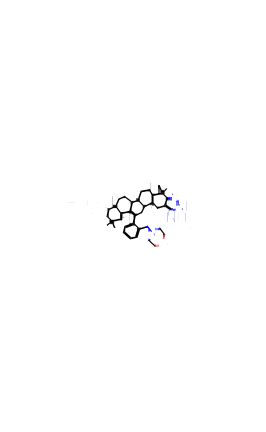 CC1(C)C[C@@H]2C3=C(c4ccccc4CN4CCOCC4)CC4[C@@]5(C)Cc6c(n[nH]c6N)C(C)(C)[C@@H]5CC[C@@]4(C)[C@]3(C)CC[C@@H]2[C@H](C(=O)O)C1